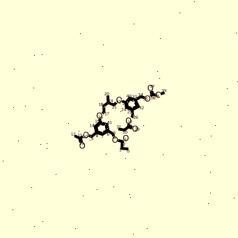 CCC(=O)OCc1cc(COC(C)=O)cc(OCCC(C)COc2cc(COC(=O)CC)cc(COC(=O)CC)c2)c1